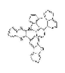 c1cc2c3c(cccc3c1)-c1cccc3c1c1c-2cccc1n3-c1nc2ccccc2nc1-c1ccc2oc3ccccc3c2c1